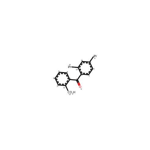 CC(C)c1ccc(C(=O)c2ccccc2C(=O)O)c(C(C)C)c1